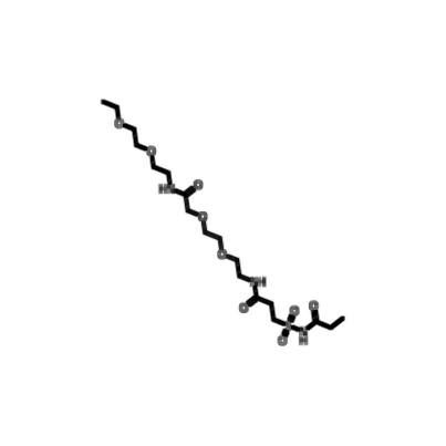 CCOCCOCCNC(=O)COCCOCCNC(=O)CCS(=O)(=O)NC(=O)CC